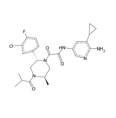 CC(C)C(=O)N1C[C@H](c2ccc(F)c(Cl)c2)N(C(=O)C(=O)Nc2cnc(N)c(C3CC3)c2)C[C@H]1C